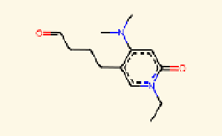 CCn1cc(CCCC=O)c(N(C)C)cc1=O